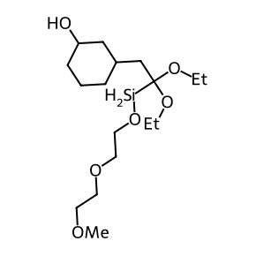 CCOC(CC1CCCC(O)C1)(OCC)[SiH2]OCCOCCOC